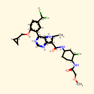 COCC(=O)NC1CCC(NC(=O)c2c(C)[nH]c3c(-c4cc(C(F)F)ccc4OCC4CC4)ncnc23)CC1F